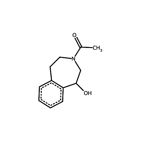 CC(=O)N1CCc2ccccc2C(O)C1